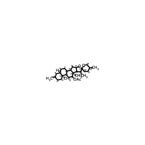 CC(=O)OC1CC2C(CC[C@@H]3C[C@H](C)CC[C@]23C)C2CC3OC4(CCC(C)CO4)[C@@H](C)C3[C@@]12C